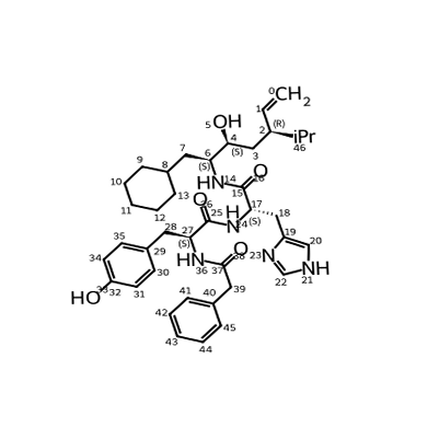 C=C[C@H](C[C@H](O)[C@H](CC1CCCCC1)NC(=O)[C@H](Cc1c[nH]cn1)NC(=O)[C@H](Cc1ccc(O)cc1)NC(=O)Cc1ccccc1)C(C)C